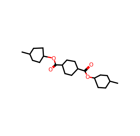 CC1CCC(OC(=O)C2CCC(C(=O)OC3CCC(C)CC3)CC2)CC1